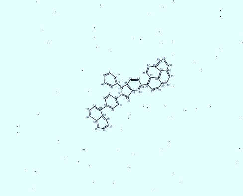 c1ccc(-n2c(-c3ccc(-c4cccc5ccccc45)cc3)nc3cc(-c4ccc5ccc6cccc7ccc4c5c67)ccc32)cc1